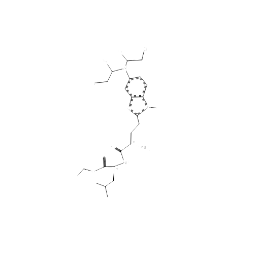 [2H]C(CCl)N(c1ccc2c(c1)nc(CC[C@H](N)C(=O)N[C@@H](CC(C)C)C(=O)OCC)n2C)C([2H])CCl